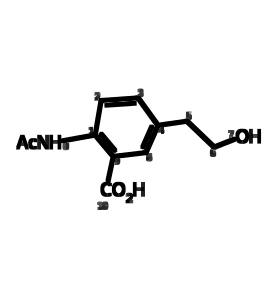 CC(=O)Nc1ccc(CCO)cc1C(=O)O